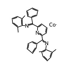 Cc1cccc(C)c1N=C(c1ccccc1)c1cccc(C(=Nc2c(C)cccc2C)c2ccccc2)n1.[Co]